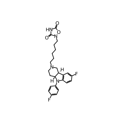 O=c1[nH]c(=O)n(CCCCCCN2CC[C@@H]3[C@@H](C2)c2cc(F)ccc2N3c2ccc(F)cc2)o1